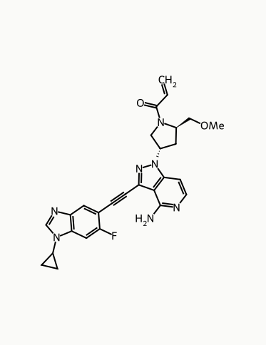 C=CC(=O)N1C[C@@H](n2nc(C#Cc3cc4ncn(C5CC5)c4cc3F)c3c(N)nccc32)C[C@@H]1COC